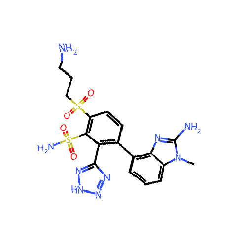 Cn1c(N)nc2c(-c3ccc(S(=O)(=O)CCCN)c(S(N)(=O)=O)c3-c3nn[nH]n3)cccc21